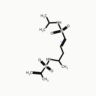 C=C(C)S(=O)(=O)NC(C)C/C=C/S(=O)(=O)NC(C)C